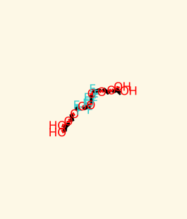 OCC(O)COCCOCC(F)(F)OCC(F)(F)OC(F)(F)C(F)(F)OC(F)(F)COCCOCC(O)CO